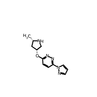 C[C@H]1C[C@@H](Oc2ccc(-n3cccn3)nn2)CN1